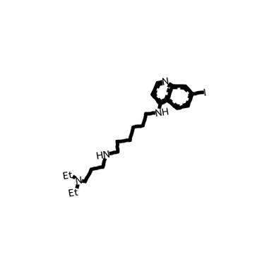 CCN(CC)CCCNCCCCCCNc1ccnc2cc(I)ccc12